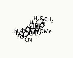 C=C(C)[C@@H]1CC[C@@](CCC(C)(C)[C@]2(C)CC[C@H]3C(C)(C)C(=O)C(C#N)=C[C@]3(C)[C@H]2CCC)(C(=O)OC)[C@H]1C